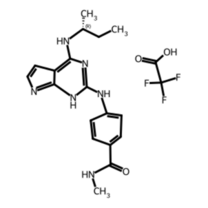 CC[C@@H](C)Nc1nc(Nc2ccc(C(=O)NC)cc2)[nH]c2nccc1-2.O=C(O)C(F)(F)F